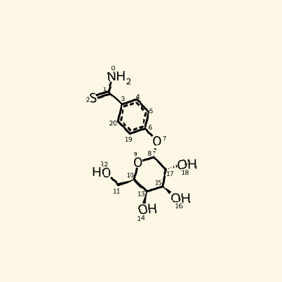 NC(=S)c1ccc(O[C@H]2O[C@H](CO)[C@H](O)[C@H](O)[C@H]2O)cc1